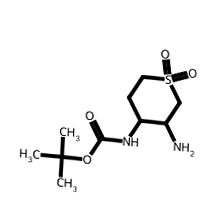 CC(C)(C)OC(=O)NC1CCS(=O)(=O)CC1N